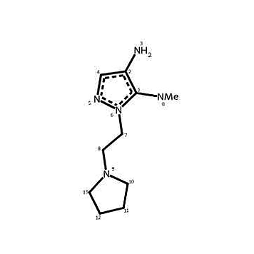 CNc1c(N)cnn1CCN1CCCC1